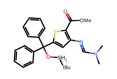 COC(=O)c1sc(C(O[SiH2]C(C)(C)C)(c2ccccc2)c2ccccc2)cc1N=CN(C)C